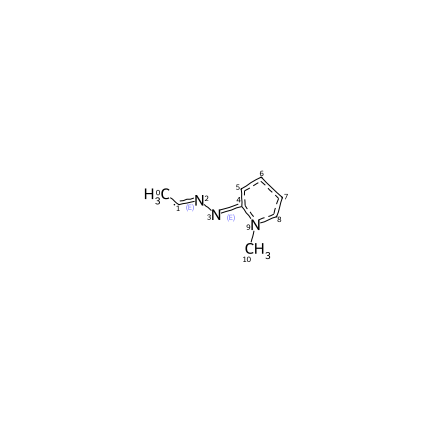 C/[C]=N/N=c1\ccccn1C